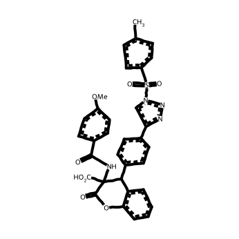 COc1ccc(C(=O)NC2(C(=O)O)C(=O)Oc3ccccc3C2c2ccc(-c3cn(S(=O)(=O)c4ccc(C)cc4)nn3)cc2)cc1